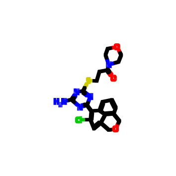 Nc1nc(SCCC(=O)N2CCOCC2)nc(-c2c(Cl)cc3c4c(cccc24)COC3)n1